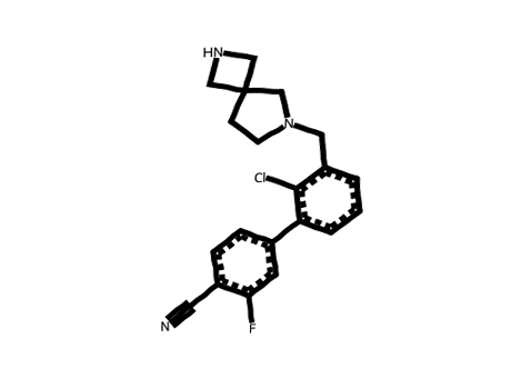 N#Cc1ccc(-c2cccc(CN3CCC4(CNC4)C3)c2Cl)cc1F